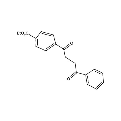 CCOC(=O)c1ccc(C(=O)CCC(=O)c2ccccc2)cc1